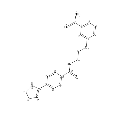 N=C(N)c1cccc(OCCNC(=O)c2ccc(C3=NCCN3)cc2)c1